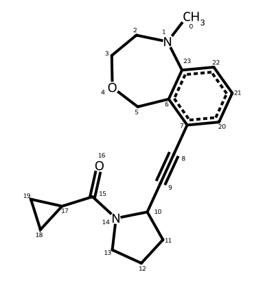 CN1CCOCc2c(C#CC3CCCN3C(=O)C3CC3)cccc21